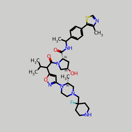 Cc1ncsc1-c1ccc(C(C)NC(=O)[C@@H]2C[C@@H](O)CN2C(=O)C(c2cc(N3CCN(CC4(F)CCNCC4)C[C@H]3C)no2)C(C)C)cc1